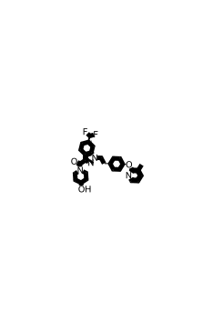 Cc1cccnc1O[C@H]1CC[C@@H](CCn2nc(C(=O)N3CCC(O)CC3)c3c2C[C@H](C(F)F)CC3)CC1